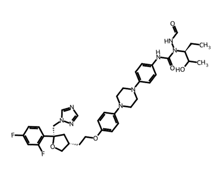 CC[C@@H](C(C)O)N(NC=O)C(=O)Nc1ccc(N2CCN(c3ccc(OCC[C@@H]4CO[C@@](Cn5cncn5)(c5ccc(F)cc5F)C4)cc3)CC2)cc1